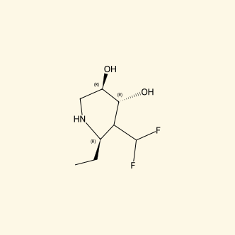 CC[C@H]1NC[C@@H](O)[C@H](O)C1C(F)F